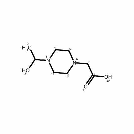 CC(O)N1CCN(CC(=O)O)CC1